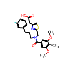 COc1cc(C(=O)N(CCCc2cccc(F)c2)Cc2nc(CC(=O)O)cs2)cc(OC)c1C